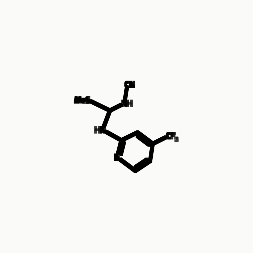 CSC(NC#N)Nc1cc(C(F)(F)F)ccn1